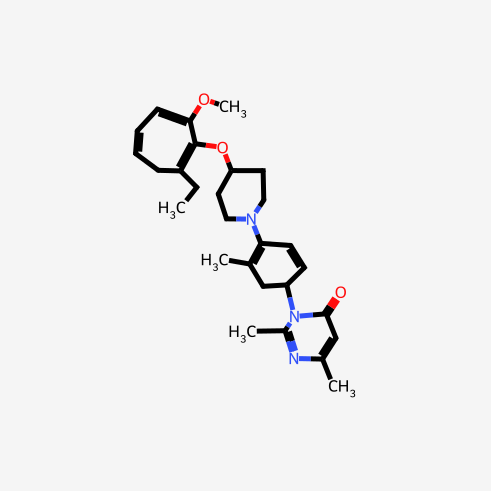 CCC1=C(OC2CCN(C3=C(C)CC(n4c(C)nc(C)cc4=O)C=C3)CC2)C(OC)=CC=CC1